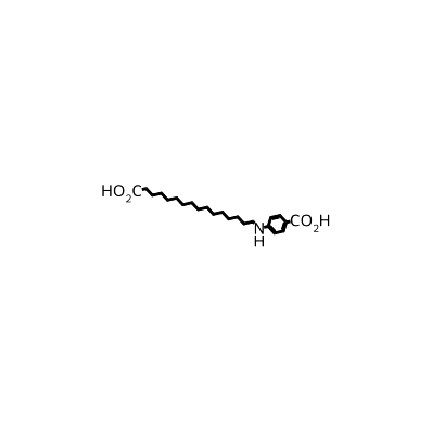 O=C(O)CCCCCCCCCCCCCCCNc1ccc(C(=O)O)cc1